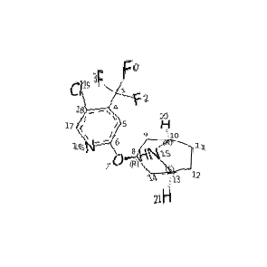 FC(F)(F)c1cc(O[C@H]2C[C@H]3CC[C@@H](C2)N3)ncc1Cl